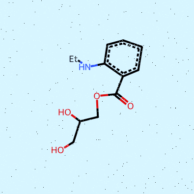 CCNc1ccccc1C(=O)OCC(O)CO